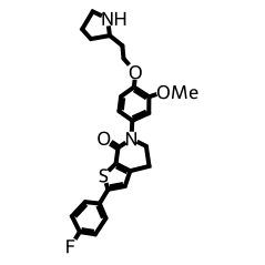 COc1cc(N2CCc3cc(-c4ccc(F)cc4)sc3C2=O)ccc1OCCC1CCCN1